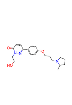 CC1CCCN1CCCOc1ccc(-c2ccc(=O)n(CCO)n2)cc1